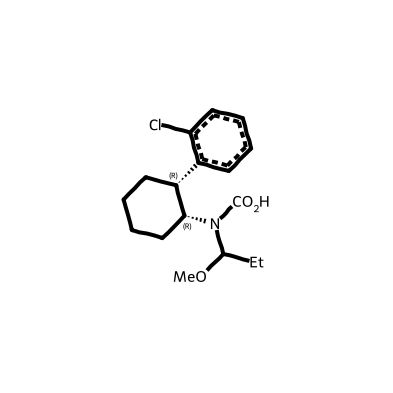 CCC(OC)N(C(=O)O)[C@@H]1CCCC[C@@H]1c1ccccc1Cl